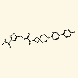 CNC(=O)c1cc(COC(=O)NC2CC3(CCN(c4ccc(-c5ccc(F)cc5)cn4)CC3)C2)on1